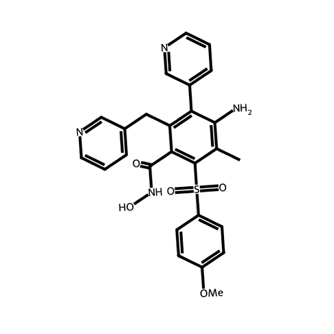 COc1ccc(S(=O)(=O)c2c(C)c(N)c(-c3cccnc3)c(Cc3cccnc3)c2C(=O)NO)cc1